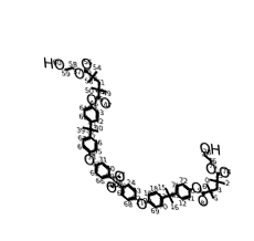 CC(C)(CC(C)(C)C(=O)Oc1ccc(C(C)(C)c2ccc(Oc3ccc(S(=O)(=O)c4ccc(Oc5ccc(C(C)(C)c6ccc(OC(=O)C(C)(C)CC(C)(C)C(=O)OCCO)cc6)cc5)cc4)cc3)cc2)cc1)C(=O)OCCO